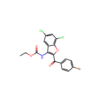 CCOC(=O)Nc1c(C(=O)c2ccc(Br)cc2)oc2c(Cl)cc(Cl)cc12